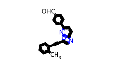 Cc1ccccc1C#Cc1cnc2ccc(-c3ccc(C=O)cc3)nn12